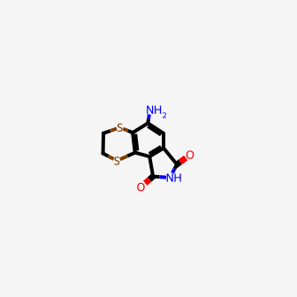 Nc1cc2c(c3c1SCCS3)C(=O)NC2=O